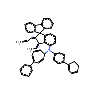 C=C/C=C1\C(=C/C)c2c(N(c3ccc(C4=CC=CCC4)cc3)C3C=CC=C(c4ccccc4)C=C3)cccc2C12c1ccccc1-c1ccccc12